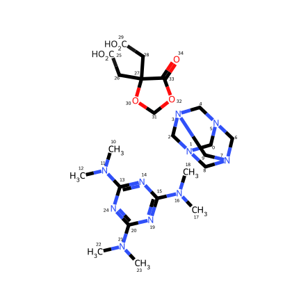 C1N2CN3CN1CN(C2)C3.CN(C)c1nc(N(C)C)nc(N(C)C)n1.O=C(O)CC1(CC(=O)O)OCOC1=O